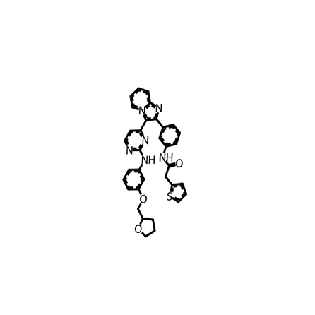 O=C(Cc1cccs1)Nc1cccc(-c2nc3ccccn3c2-c2ccnc(Nc3cccc(OCC4CCCO4)c3)n2)c1